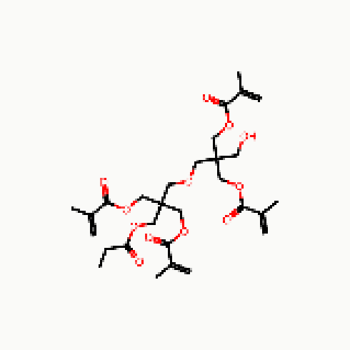 C=C(C)C(=O)OCC(CO)(COCC(COC(=O)CC)(COC(=O)C(=C)C)COC(=O)C(=C)C)COC(=O)C(=C)C